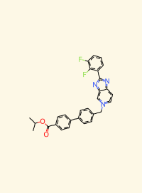 CC(C)OC(=O)c1ccc(-c2ccc(Cn3ccc4nc(-c5cccc(F)c5F)nc-4c3)cc2)cc1